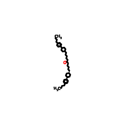 CCCCc1ccc(C2CCC(CCCCCC(=O)CCCCC[C@H]3CC[C@H](c4ccc(CCCC)cc4)CC3)CC2)cc1